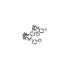 Cn1cnnc1C(Cl)(c1ccc(I)cc1)c1ccc2c(c1)c(-c1cccc(Cl)c1)nc1nnnn12